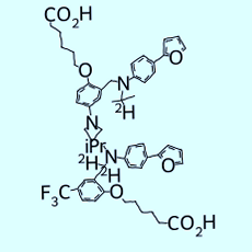 [2H]C(C)(C)N(Cc1cc(N2CCC2)ccc1OCCCCCC(=O)O)c1ccc(-c2ccco2)cc1.[2H]C([2H])(c1cc(C(F)(F)F)ccc1OCCCCCC(=O)O)N(c1ccc(-c2ccco2)cc1)C(C)C